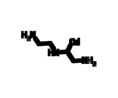 NCCN[CH]([Gd])CN